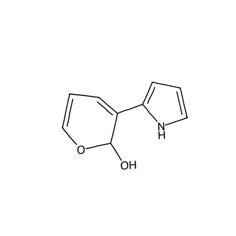 OC1OC=CC=C1c1ccc[nH]1